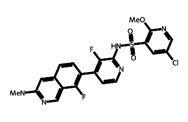 CNc1cc2ccc(-c3ccnc(NS(=O)(=O)c4cc(Cl)cnc4OC)c3F)c(F)c2cn1